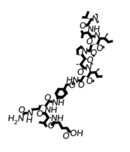 CC[C@H](C)[C@@H]([C@@H](CC(=O)N1CCC[C@H]1[C@H](OC)[C@@H](C)C(=O)N(C)[C@@H]([C@@H](C)CC)[C@@H](CC(=O)NOCc1ccc(NC(=O)[C@@H](CCCNC(N)=O)NC(=O)[C@H](NC(=O)CCCC(=O)O)C(C)C)cc1)OC)OC)N(C)C(=O)[C@@H](NC(=O)[C@H](C(C)C)N(C)C)C(C)C